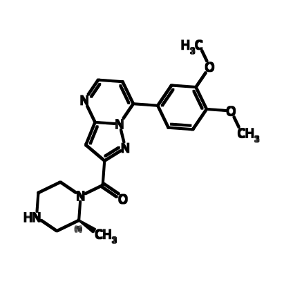 COc1ccc(-c2ccnc3cc(C(=O)N4CCNC[C@@H]4C)nn23)cc1OC